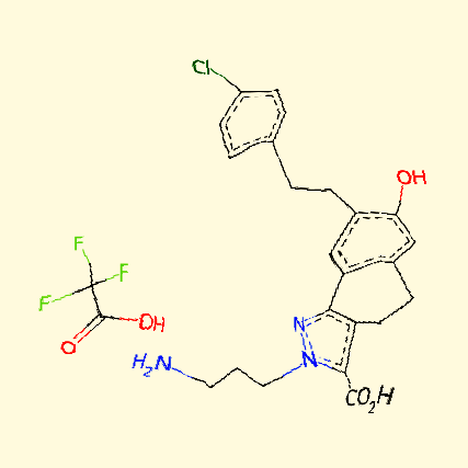 NCCCn1nc2c(c1C(=O)O)CCc1cc(O)c(CCc3ccc(Cl)cc3)cc1-2.O=C(O)C(F)(F)F